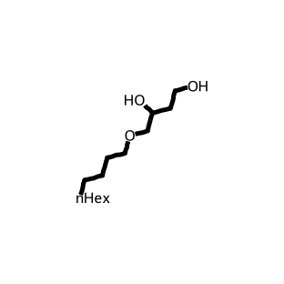 CCCCCCCCCCOCC(O)CCO